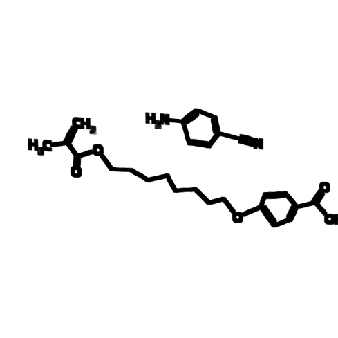 C=C(C)C(=O)OCCCCCCCCOc1ccc(C(=O)O)cc1.N#Cc1ccc(N)cc1